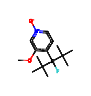 COc1c[n+]([O-])ccc1[Si](F)(C(C)(C)C)C(C)(C)C